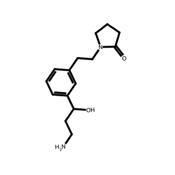 NCCC(O)c1cccc(CCN2CCCC2=O)c1